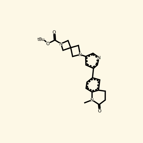 CN1C(=O)CCc2cc(-c3cncc(N4CC5(CN(C(=O)OC(C)(C)C)C5)C4)c3)ccc21